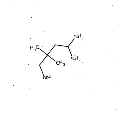 CCCCCC(C)(C)CC(N)N